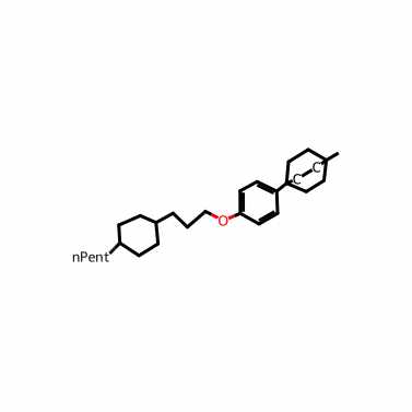 CCCCCC1CCC(CCCOc2ccc(C34CCC(C)(CC3)CC4)cc2)CC1